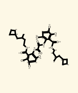 CC(CCOC(=O)c1c(Cl)c(Cl)cc(Cl)c1OC(=O)C(=O)Oc1c(Cl)cc(Cl)c(Cl)c1C(=O)OCCC(C)CC1CCC1)CC1CCC1